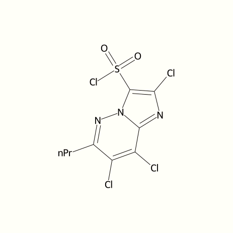 CCCc1nn2c(S(=O)(=O)Cl)c(Cl)nc2c(Cl)c1Cl